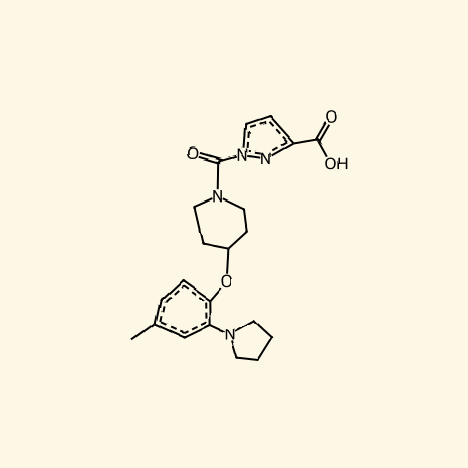 Cc1ccc(OC2CCN(C(=O)n3ccc(C(=O)O)n3)CC2)c(N2CCCC2)c1